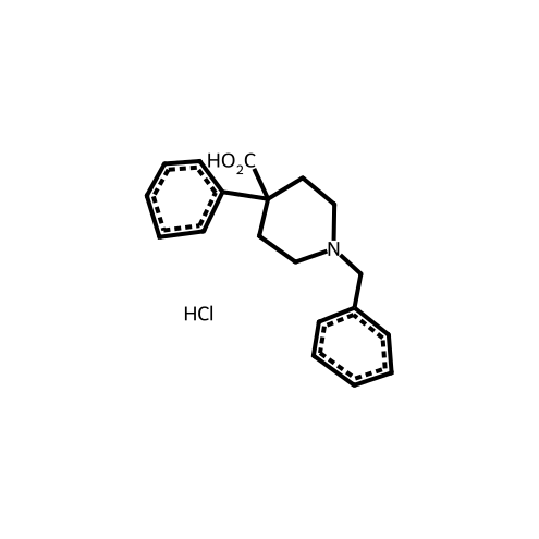 Cl.O=C(O)C1(c2ccccc2)CCN(Cc2ccccc2)CC1